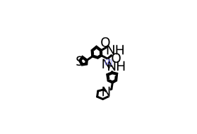 O=C1NC(=O)c2ccc(-c3ccsc3)cc2/C1=N/Nc1ccc(CN2CCCCC2)cc1